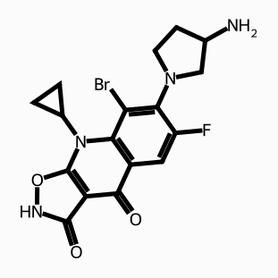 NC1CCN(c2c(F)cc3c(=O)c4c(=O)[nH]oc4n(C4CC4)c3c2Br)C1